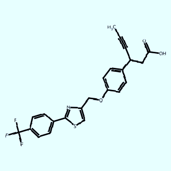 CC#CC(CC(=O)O)c1ccc(OCc2csc(-c3ccc(C(F)(F)F)cc3)n2)cc1